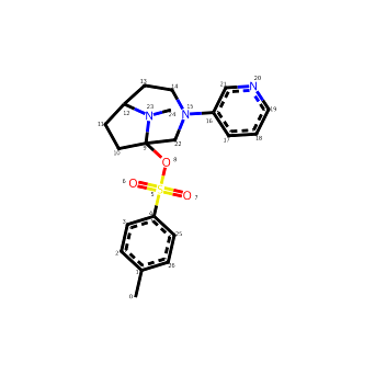 Cc1ccc(S(=O)(=O)OC23CCC(CCN(c4cccnc4)C2)N3C)cc1